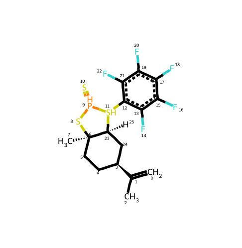 C=C(C)[C@H]1CC[C@@]2(C)S[PH](=S)[SH](c3c(F)c(F)c(F)c(F)c3F)[C@H]2C1